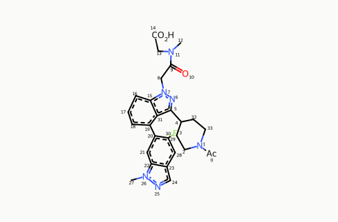 CC(=O)N1CCC(c2nn(CC(=O)N(C)CC(=O)O)c3cccc(-c4cc5c(cnn5C)cc4F)c23)CC1